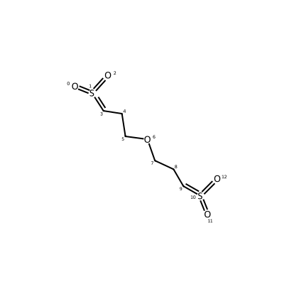 O=S(=O)=CCCOCCC=S(=O)=O